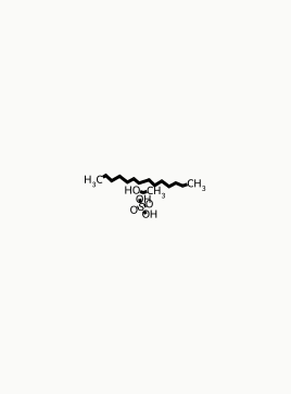 CCCCCCCCCCCCCC.CCO.O=S(=O)(O)O